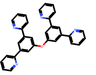 c1ccc(-c2cc(Oc3cc(-c4ccccn4)cc(-c4ccccn4)c3)cc(-c3ccccn3)c2)nc1